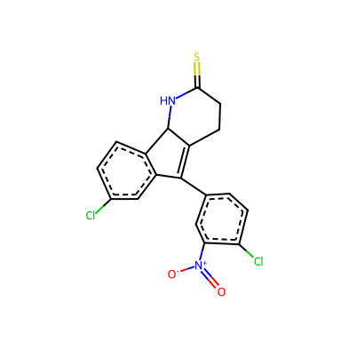 O=[N+]([O-])c1cc(C2=C3CCC(=S)NC3c3ccc(Cl)cc32)ccc1Cl